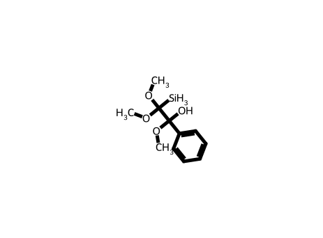 COC([SiH3])(OC)C(O)(OC)c1ccccc1